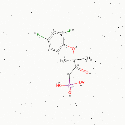 CC(C)(Oc1ccc(F)cc1F)C(=O)CP(=O)(O)O